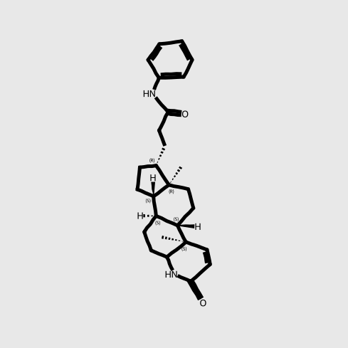 C[C@]12CC[C@H]3[C@@H](CCC4NC(=O)C=C[C@@]43C)[C@@H]1CC[C@@H]2CCC(=O)Nc1ccccc1